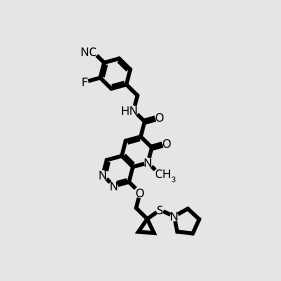 Cn1c(=O)c(C(=O)NCc2ccc(C#N)c(F)c2)cc2cnnc(OCC3(SN4CCCC4)CC3)c21